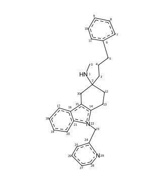 CNC1(CCCc2ccccc2)CCc2c(c3ccccc3n2Cc2ccccn2)C1